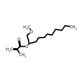 C=C(C)C(=O)OC(CCCCCCCCC)COC